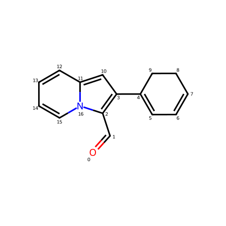 O=Cc1c(C2=CC=CCC2)cc2ccccn12